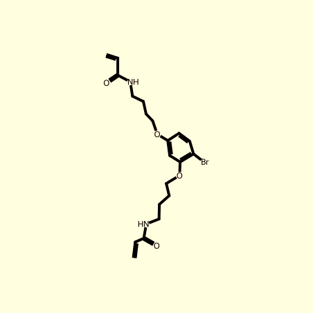 C=CC(=O)NCCCCOc1ccc(Br)c(OCCCCNC(=O)C=C)c1